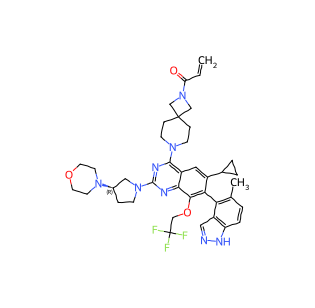 C=CC(=O)N1CC2(CCN(c3nc(N4CC[C@@H](N5CCOCC5)C4)nc4c(OCC(F)(F)F)c(-c5c(C)ccc6[nH]ncc56)c(C5CC5)cc34)CC2)C1